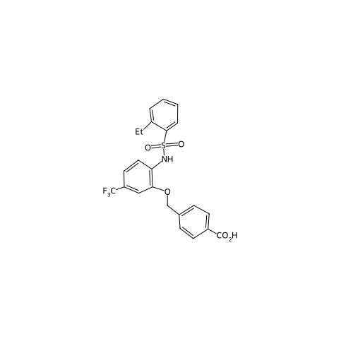 CCc1ccccc1S(=O)(=O)Nc1ccc(C(F)(F)F)cc1OCc1ccc(C(=O)O)cc1